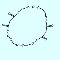 O=C1COCCOCCOCC(=O)CC(=O)COCCOCCOCC(=O)C1